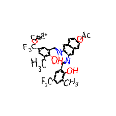 CC(=O)[O-].CC(=O)[O-].Cc1cc(C(F)(F)F)cc(C=Nc2cc3ccccc3cc2N=Cc2cc(C(F)(F)F)cc(C)c2O)c1O.[Co+2]